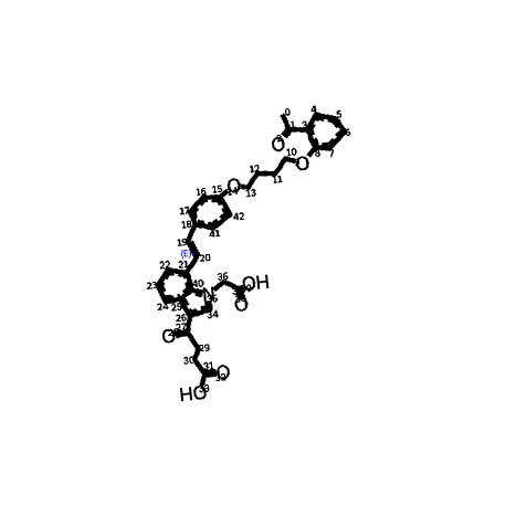 CC(=O)c1ccccc1OCCCCOc1ccc(/C=C/c2cccc3c(C(=O)CCC(=O)O)cn(CC(=O)O)c23)cc1